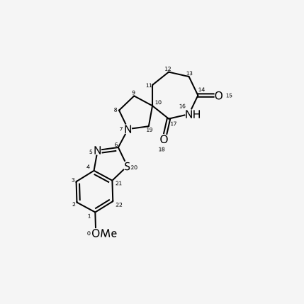 COc1ccc2nc(N3CCC4(CCCC(=O)NC4=O)C3)sc2c1